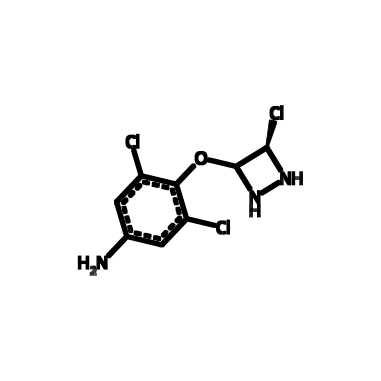 Nc1cc(Cl)c(OC2NN[C@@H]2Cl)c(Cl)c1